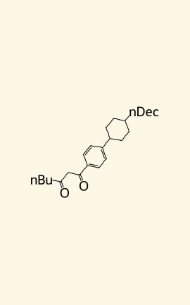 CCCCCCCCCCC1CCC(c2ccc(C(=O)CC(=O)CCCC)cc2)CC1